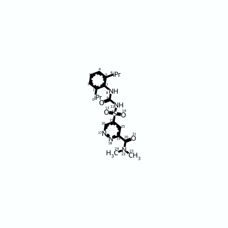 CC(C)c1cccc(C(C)C)c1NC(=O)NS(=O)(=O)c1cnnc(C(=O)N(C)C)c1